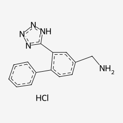 Cl.NCc1ccc(-c2ccccc2)c(-c2nnn[nH]2)c1